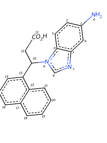 Nc1ccc2c(c1)ncn2C(CC(=O)O)c1cccc2ccccc12